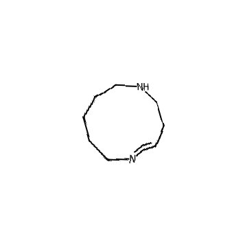 C1=N\CCCCCNCC/1